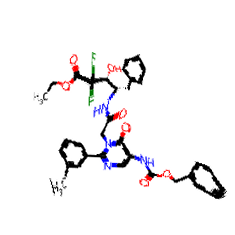 CCOC(=O)C(F)(F)[C@H](O)[C@H](Cc1ccccc1)NC(=O)Cn1c(-c2cccc(C)c2)ncc(NC(=O)OCc2ccccc2)c1=O